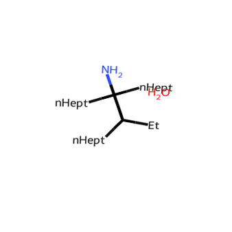 CCCCCCCC(CC)C(N)(CCCCCCC)CCCCCCC.O